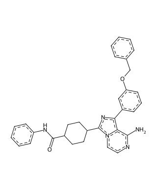 Nc1nccn2c(C3CCC(C(=O)Nc4ccccc4)CC3)nc(-c3cccc(OCc4ccccc4)c3)c12